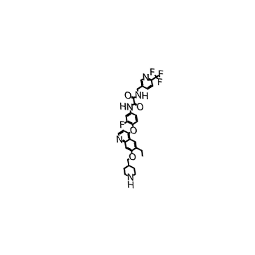 CCc1cc2c(Oc3ccc(NC(=O)C(=O)NCc4ccc(C(F)(F)F)nc4)cc3F)ccnc2cc1OCC1CCNCC1